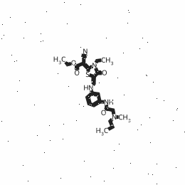 CCCN(C)CC(=O)Nc1cccc(NC=c2sc(=C(C#N)C(=O)OCC)n(CC)c2=O)c1